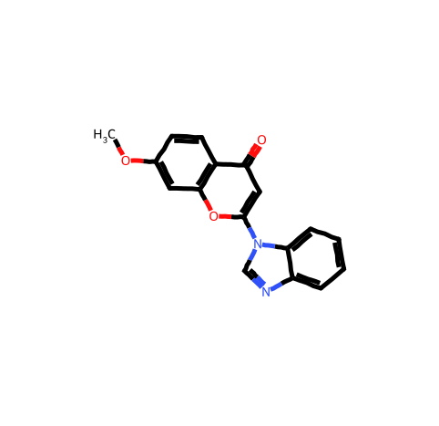 COc1ccc2c(=O)cc(-n3cnc4ccccc43)oc2c1